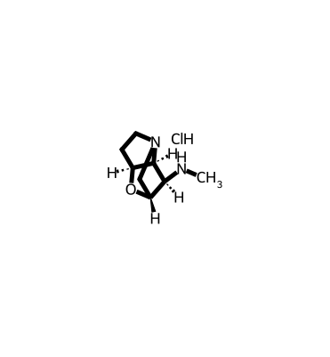 CN[C@@H]1[C@H]2[C@@H]3CCN2C[C@H]1O3.Cl